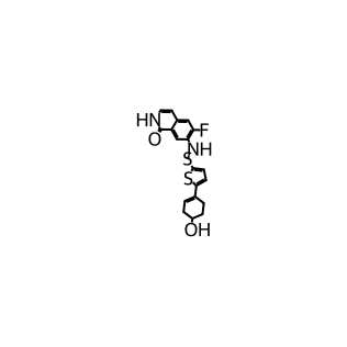 O=c1[nH]ccc2cc(F)c(NSc3ccc(C4=CCC(O)CC4)s3)cc12